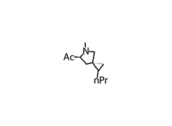 CCCC1C[C@@]12C[C@@H](C(C)=O)N(C)C2